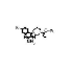 CC(C)(C)OC(=O)N1CCCn2c(nc3c(N)nc4cc(Br)ccc4c32)C1